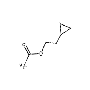 NC(=O)OCCC1CC1